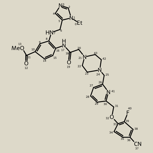 CCn1cncc1CNc1cc(C(=O)OC)ccc1NC(=O)CN1CCN(Cc2cccc(COc3ccc(C#N)cc3F)n2)CC1